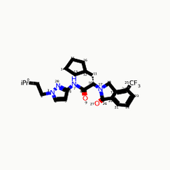 CC(C)CCn1ccc(NC(=O)[C@H](CC2CCCC2)N2Cc3c(cccc3C(F)(F)F)C2=O)n1